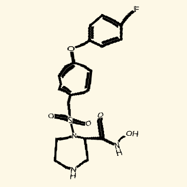 O=C(NO)C1CNCCN1S(=O)(=O)c1ccc(Oc2ccc(F)cc2)cc1